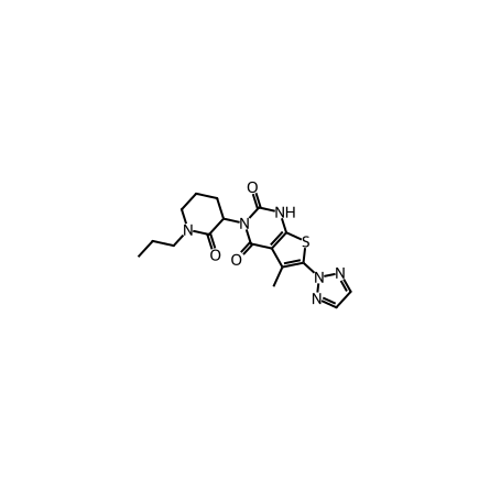 CCCN1CCCC(n2c(=O)[nH]c3sc(-n4nccn4)c(C)c3c2=O)C1=O